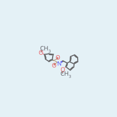 COc1ccc(S(=O)(=O)/N=C/c2c(OC)ccc3ccccc23)cc1